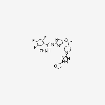 C[C@H](Oc1cnc(N2C[C@H](NCl)[C@@H](c3cc(F)c(F)cc3F)C2)nc1)C1CCN(c2nnn([C@H]3CCOC3)n2)CC1